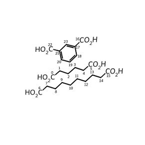 O=C(O)CCCCC(=O)O.O=C(O)CCCCCCCCC(=O)O.O=C(O)c1cccc(C(=O)O)c1